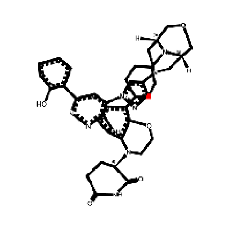 Nc1nnc(-c2ccccc2O)cc1-n1cc(N2C[C@H]3COC[C@@H](C2)N3C2CCC(c3cccc4c3OCCN4[C@@H]3CCC(=O)NC3=O)CC2)cn1